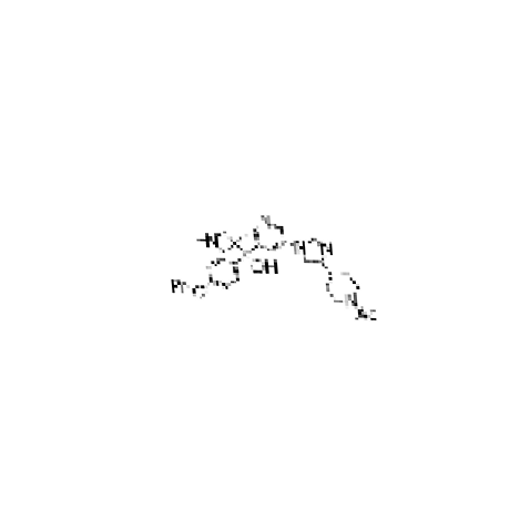 CC(=O)N1CCC(c2cn(-c3cncc([C@@](O)(c4ccc(OC(C)C)cc4)C4(C)CN(C)C4)c3)cn2)CC1